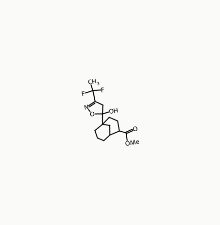 COC(=O)C1CCC2(C3(O)CC(C(C)(F)F)=NO3)CCCC1C2